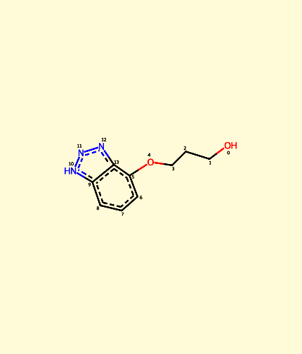 OCCCOc1cccc2[nH]nnc12